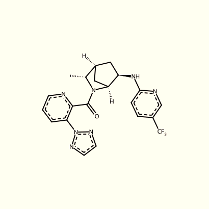 C[C@@H]1[C@H]2C[C@@H](Nc3ccc(C(F)(F)F)cn3)[C@H](C2)N1C(=O)c1ncccc1-n1nccn1